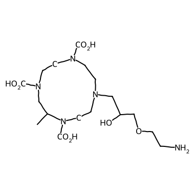 CC1CN(C(=O)O)CCN(C(=O)O)CCN(CC(O)COCCN)CCN1C(=O)O